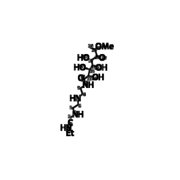 CCNCCNCCNCCNC(=O)[C@H](O)[C@@H](O)[C@H](O)[C@H](O)C(=O)C(C)OC